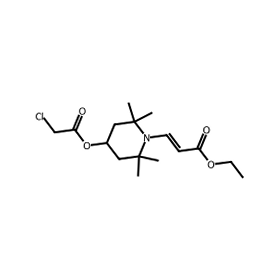 CCOC(=O)C=CN1C(C)(C)CC(OC(=O)CCl)CC1(C)C